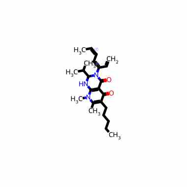 C=C/C(=C\C=C/C)N1C(=O)c2c(n(C)c(C)c(CCCCC)c2=O)NC1C(C)C